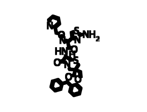 C=CC1(C(=O)OC(c2ccccc2)c2ccccc2)CS[C@@H]2C(NC(=O)C(=NOCc3ccccn3)c3csc(N)n3)C(=O)N2C1